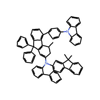 CC1CC(N(c2ccc3c(c2)C(C)(C)c2ccccc2-3)c2ccccc2-c2ccccc2)=CC2=C1c1c(-c3ccc(-n4c5ccccc5c5ccccc54)cc3)cccc1C2(c1ccccc1)c1ccccc1